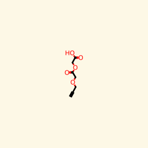 C#CCOCC(=O)OCC(=O)O